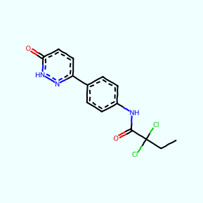 CCC(Cl)(Cl)C(=O)Nc1ccc(-c2ccc(=O)[nH]n2)cc1